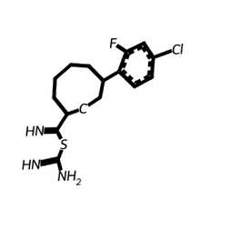 N=C(N)SC(=N)C1CCCCC(c2ccc(Cl)cc2F)CC1